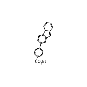 CCOC(=O)c1ccc(-c2ccc3c(c2)C=C2C=CC=CC23)cc1